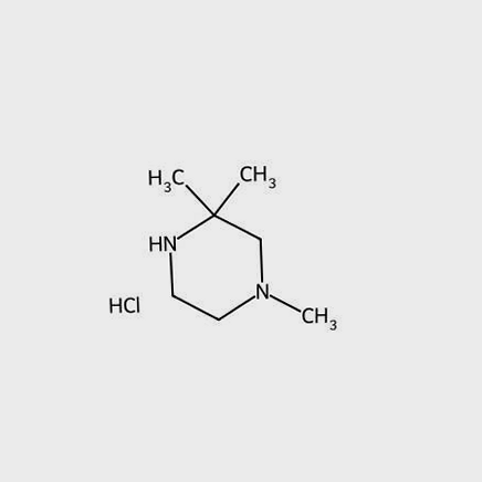 CN1CCNC(C)(C)C1.Cl